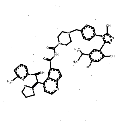 Cc1cccc(C(=N)/C(=C2/CCCN2)c2ccnc3ccc(C(=O)NC(=O)N4CCN(Cc5ccc(-n6c(O)nnc6-c6cc(C(C)C)c(O)cc6O)cc5)CC4)cc23)n1